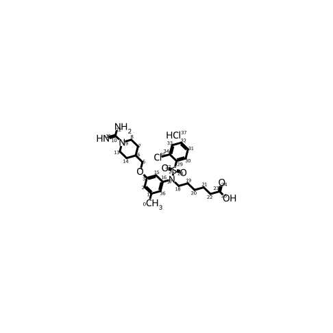 Cc1cc(OCC2CCN(C(=N)N)CC2)cc(N(CCCCCC(=O)O)S(=O)(=O)c2ccccc2Cl)c1.Cl